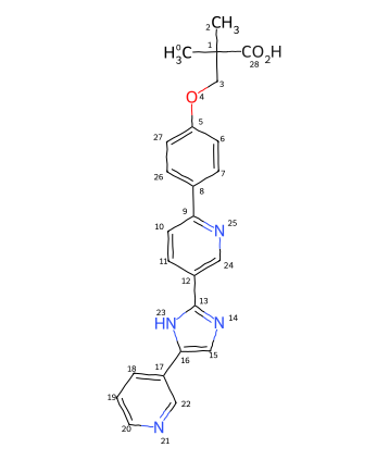 CC(C)(COc1ccc(-c2ccc(-c3ncc(-c4cccnc4)[nH]3)cn2)cc1)C(=O)O